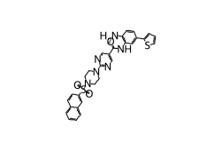 Nc1ccc(-c2cccs2)cc1NC(=O)c1cnc(N2CCN(S(=O)(=O)c3ccc4ccccc4c3)CC2)nc1